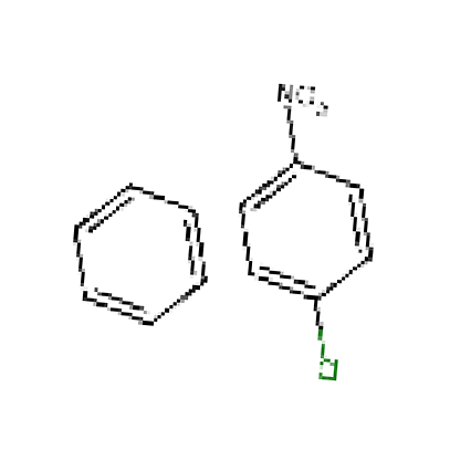 O=[N+]([O-])c1ccc(Cl)cc1.c1ccccc1